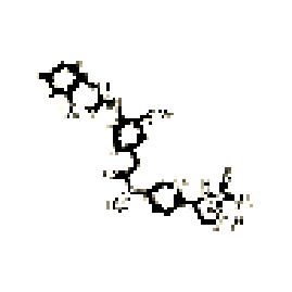 COc1cc(CC(=O)N(C)c2ccc(C(CC(=O)O)NS(C)(=O)=O)nc2)ccc1NC(=O)Nc1ccccc1C